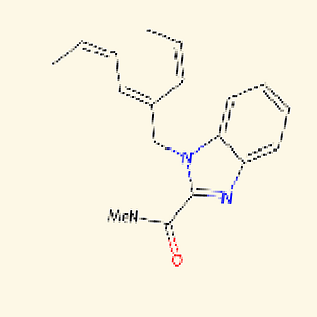 C\C=C/C=C(\C=C/C)Cn1c(C(=O)NC)nc2ccccc21